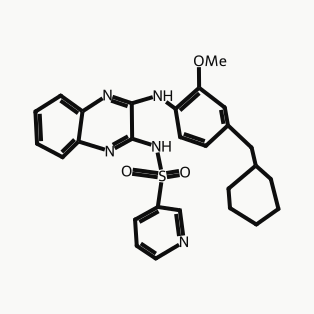 COc1cc(CC2CCCCC2)ccc1Nc1nc2ccccc2nc1NS(=O)(=O)c1cccnc1